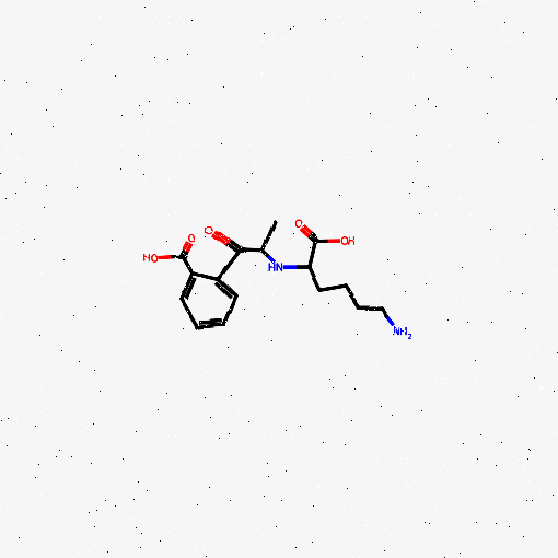 CC(NC(CCCCN)C(=O)O)C(=O)c1ccccc1C(=O)O